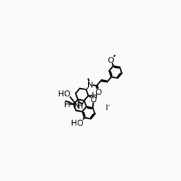 COc1cccc(C=CC(=O)N(C)[C@@H]2CC[C@H]3[C@H]4Cc5c(O)ccc6c5[C@@]3(CC[N+]4(C)O)[C@H]2O6)c1.[I-]